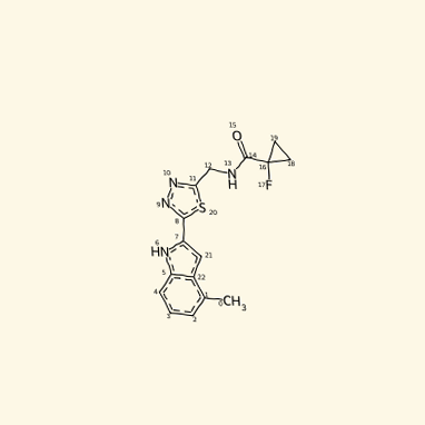 Cc1cccc2[nH]c(-c3nnc(CNC(=O)C4(F)CC4)s3)cc12